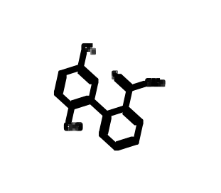 COC(=S)c1ccccc1-c1cc(C(F)(F)F)ccc1C=O